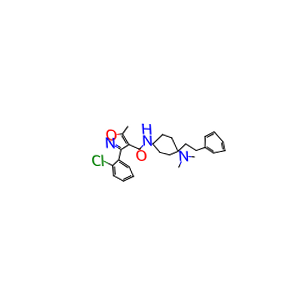 Cc1onc(-c2ccccc2Cl)c1C(=O)NC1CCC(CCc2ccccc2)(N(C)C)CC1